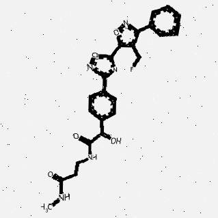 CNC(=O)CCNC(=O)C(O)c1ccc(-c2noc(-c3onc(-c4ccccc4)c3CF)n2)cc1